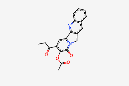 CCC(=O)c1cc2n(c(=O)c1OC(C)=O)Cc1cc3ccccc3nc1-2